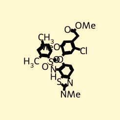 CNc1nc2ccc(Oc3cc(Cl)c(CC(=O)OC)cc3OC)c(NS(=O)(=O)c3ccc(C)cc3C)c2s1